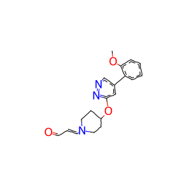 COc1ccccc1-c1cnnc(OC2CCN(C=CC=O)CC2)c1